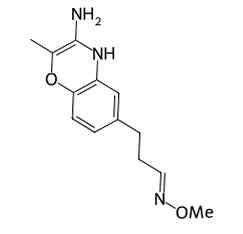 CON=CCCc1ccc2c(c1)NC(N)=C(C)O2